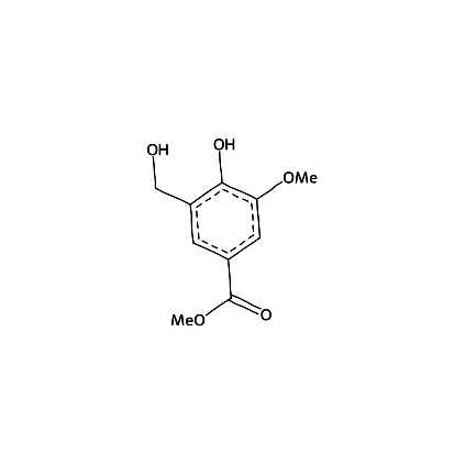 COC(=O)c1cc(CO)c(O)c(OC)c1